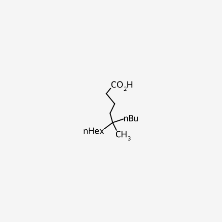 CCCCCCC(C)(CCCC)CCCC(=O)O